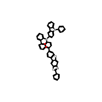 c1ccc(-c2nc3cc4oc5cc(-c6ccc(N(c7ccc8c(c7)c7ccccc7n8-c7ccccc7)c7ccccc7-c7ccccc7)cc6)ccc5c4cc3o2)cc1